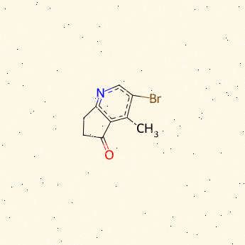 Cc1c(Br)cnc2c1C(=O)CC2